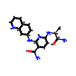 CC[C@@H](Nc1ccc(C(N)=O)c(Nc2ccc3cccnc3c2)n1)C(N)=O